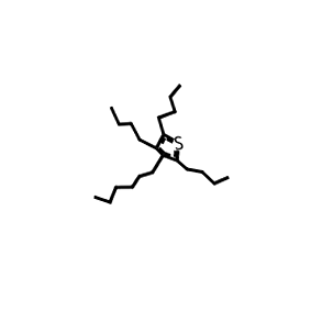 CCCCCCc1c(CCCC)sc(CCCC)c1CCCC